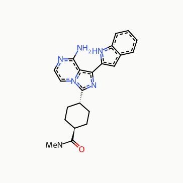 CNC(=O)[C@H]1CC[C@H](c2nc(-c3cc4ccccc4[nH]3)c3c(N)nccn32)CC1